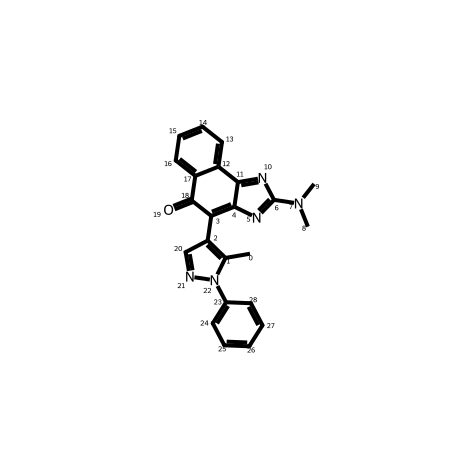 Cc1c(C2=C3N=C(N(C)C)N=C3c3ccccc3C2=O)cnn1-c1ccccc1